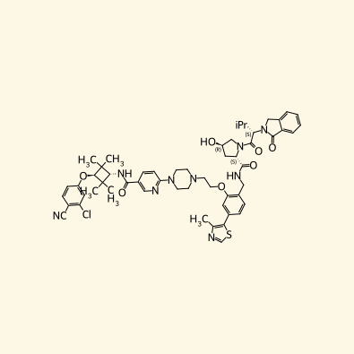 Cc1ncsc1-c1ccc(CNC(=O)[C@@H]2C[C@@H](O)CN2C(=O)[C@H](C(C)C)N2Cc3ccccc3C2=O)c(OCCN2CCN(c3ccc(C(=O)N[C@H]4C(C)(C)[C@H](Oc5ccc(C#N)c(Cl)c5)C4(C)C)cn3)CC2)c1